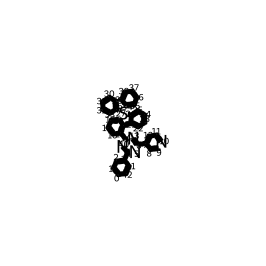 c1ccc(-c2nc(-c3ccncc3)nc(-c3cccc4c3-c3ccccc3S4(c3ccccc3)c3ccccc3)n2)cc1